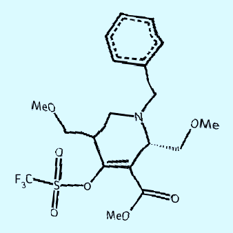 COCC1CN(Cc2ccccc2)[C@H](COC)C(C(=O)OC)=C1OS(=O)(=O)C(F)(F)F